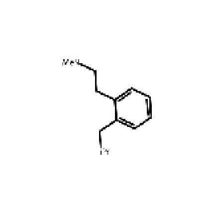 CNCCc1ccccc1CC(C)C